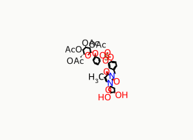 CC(=O)OC[C@H]1OC(Oc2ccccc2OS(=O)(=O)Oc2ccc(Cn3c(=O)c(C)cn([C@H]4CC(O)[C@@H](O)O4)c3=O)cc2)[C@H](OC(C)=O)[C@@H](OC(C)=O)[C@H]1OC(C)=O